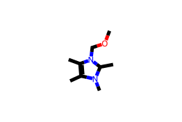 COCN1C(C)=C(C)N(C)C1C